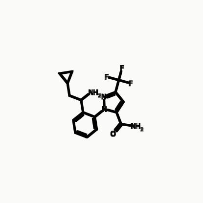 NC(=O)c1cc(C(F)(F)F)nn1-c1ccccc1C(N)CC1CC1